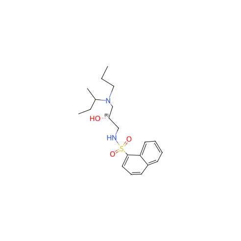 CCCN(C[C@@H](O)CNS(=O)(=O)c1cccc2ccccc12)C(C)CC